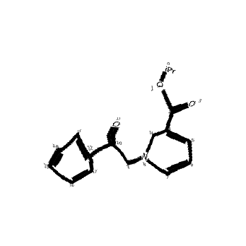 CC(C)OC(=O)C1=CC=CN(CC(=O)c2ccccc2)C1